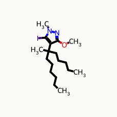 CCCCCCC(C)(CCCCC)c1c(OC)nn(C)c1I